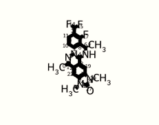 Cc1nnc(N[C@H](C)c2cccc(C(F)F)c2F)c2cc3c(cc12)n(C)c(=O)n3C